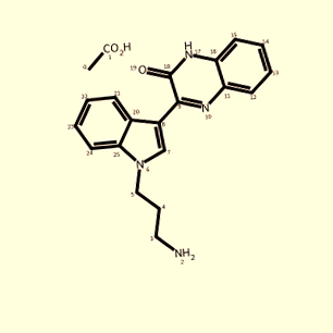 CC(=O)O.NCCCn1cc(-c2nc3ccccc3[nH]c2=O)c2ccccc21